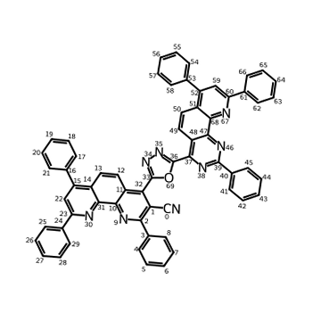 N#Cc1c(-c2ccccc2)nc2c(ccc3c(-c4ccccc4)cc(-c4ccccc4)nc32)c1-c1nnc(-c2nc(-c3ccccc3)nc3c2ccc2c(-c4ccccc4)cc(-c4ccccc4)nc23)o1